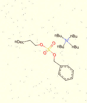 CCCCCCCCCCCCOS(=O)(=O)OCc1ccccc1.CCCC[N+](CCCC)(CCCC)CCCC